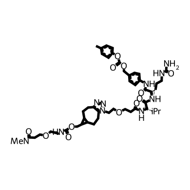 CNC(=O)CCOCCNC(=O)OCC1C2CCc3nnn(CCOCCC(=O)N[C@H](C(=O)N[C@@H](CCCNC(N)=O)C(=O)Nc4ccc(COC(=O)Oc5ccc(C)cc5)cc4)C(C)C)c3CCC21